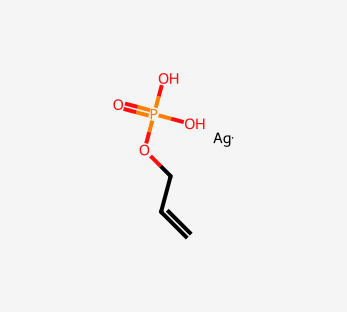 C=CCOP(=O)(O)O.[Ag]